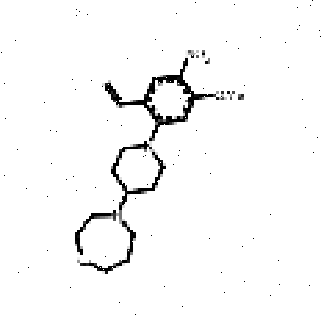 C=Cc1cc([N+](=O)[O-])c(OC)cc1N1CCC(N2CCCOCC2)CC1